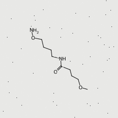 COCCCC(=O)NCCCCON